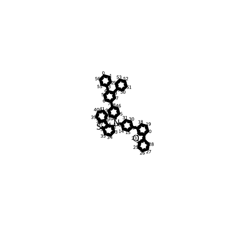 c1ccc(-c2ccc(-c3ccc(N(c4ccc(-c5cccc6c5oc5ccccc56)cc4)c4cccc5sc6ccccc6c45)cc3)cc2-c2ccccc2)cc1